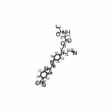 C=CC(=O)NC(C)(C)C(=O)OCCN(CCC#N)c1ccc(/N=N/c2nc3ccc([N+](=O)[O-])cc3s2)cc1